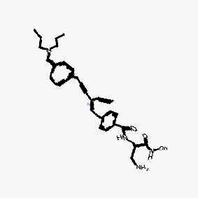 C=C/C(C#Cc1ccc(CN(CCC)CCC)cc1)=C\c1ccc(C(=O)NC(CN)C(=O)NO)cc1